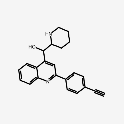 C#Cc1ccc(-c2cc(C(O)C3CCCCN3)c3ccccc3n2)cc1